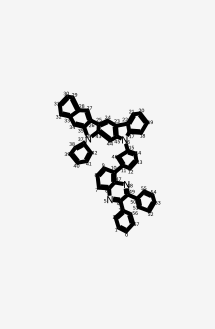 c1ccc(-c2nc3cccc(-c4cccc(-n5c6ccccc6c6cc7c8cc9ccccc9cc8n(-c8ccccc8)c7cc65)c4)c3nc2-c2ccccc2)cc1